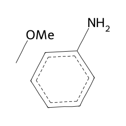 COC.Nc1ccccc1